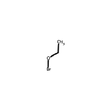 CCOBr